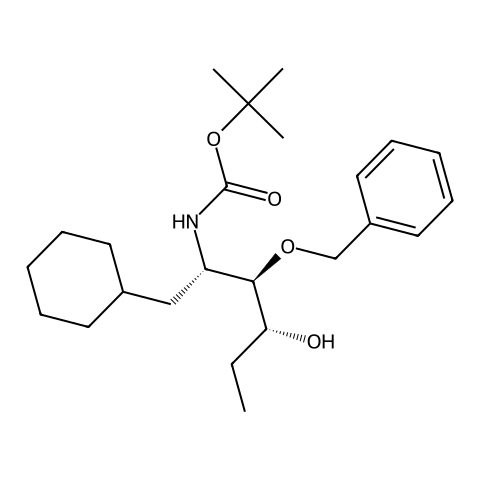 CC[C@@H](O)[C@H](OCc1ccccc1)[C@H](CC1CCCCC1)NC(=O)OC(C)(C)C